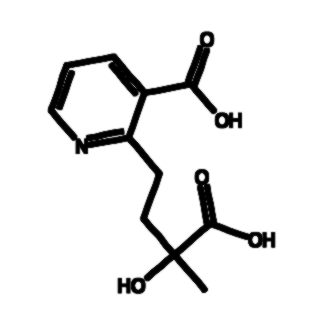 CC(O)(CCc1ncccc1C(=O)O)C(=O)O